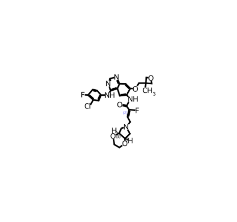 CC1(COc2cc3ncnc(Nc4ccc(F)c(Cl)c4)c3cc2NC(=O)/C(F)=C/CN2C[C@@H]3OCCO[C@H]3C2)COC1